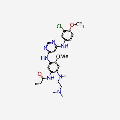 C=CC(=O)Nc1cc(Nc2cc(Nc3ccc(OC(F)(F)F)c(Cl)c3)ncn2)c(OC)cc1N(C)CCN(C)C